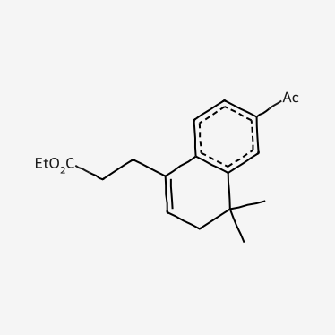 CCOC(=O)CCC1=CCC(C)(C)c2cc(C(C)=O)ccc21